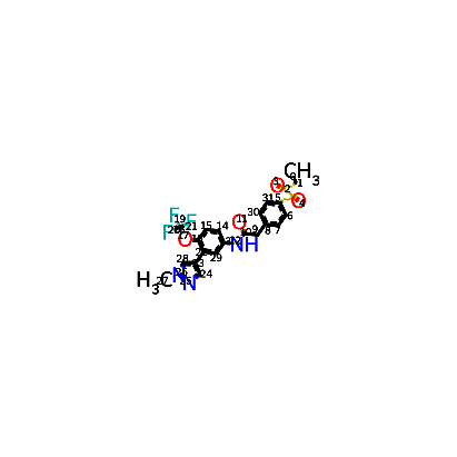 CCS(=O)(=O)c1ccc(CC(=O)Nc2ccc(OC(F)(F)F)c(-c3cnn(C)c3)c2)cc1